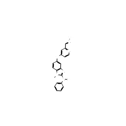 Cn1c(N(Br)c2ccccc2)nc2cc(Oc3ccnc(C=NO)c3)ccc21